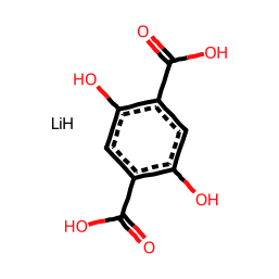 O=C(O)c1cc(O)c(C(=O)O)cc1O.[LiH]